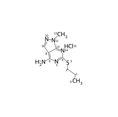 CCCSc1nc(N)c2cnn(C)c2n1.Cl